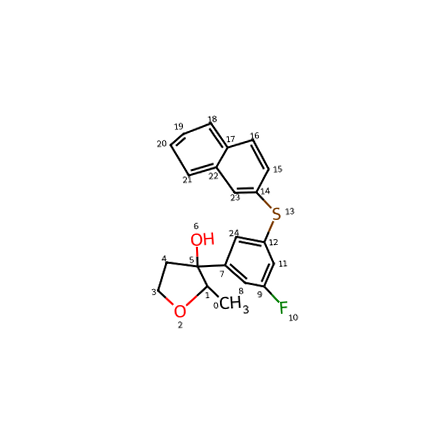 CC1OCCC1(O)c1cc(F)cc(Sc2ccc3ccccc3c2)c1